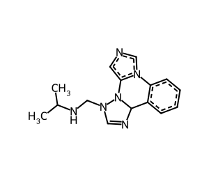 CC(C)NCN1C=NC2c3ccccc3-n3cncc3N21